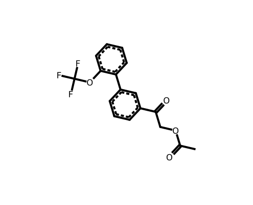 CC(=O)OCC(=O)c1cccc(-c2ccccc2OC(F)(F)F)c1